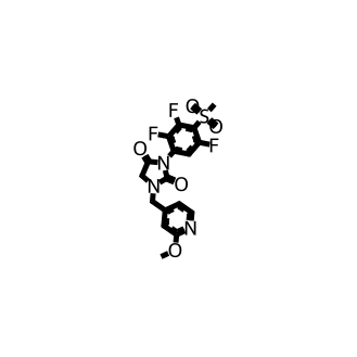 COc1cc(CN2CC(=O)N(c3cc(F)c(S(C)(=O)=O)c(F)c3F)C2=O)ccn1